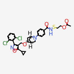 CC(=O)OCCSNC(=O)c1ccc(N2C[C@@H]3C[C@H]2C[C@H]3OCc2c(-c3c(Cl)cccc3Cl)noc2C2CC2)cc1